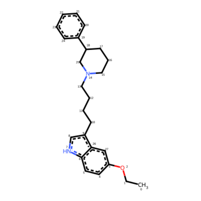 CCOc1ccc2[nH]cc(CCCCN3CCCC(c4ccccc4)C3)c2c1